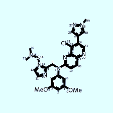 COc1cc(OC)cc(N(Cc2nccn2SN(C)C)c2ccc3ncc(-c4cnn(C)c4)c(Cl)c3n2)c1